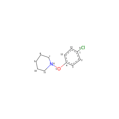 Clc1ccc(ON2CCCCC2)cc1